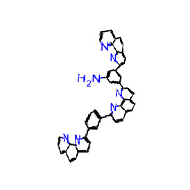 Nc1cc(-c2ccc3ccc4cccnc4c3n2)cc(-c2ccc3ccc4ccc(-c5cccc(-c6ccc7ccc8cccnc8c7n6)c5)nc4c3n2)c1